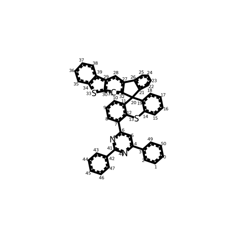 c1ccc(-c2cc(-c3cccc4c3Sc3ccccc3C43c4ccccc4-c4cc5c(cc43)sc3ccccc35)nc(-c3ccccc3)n2)cc1